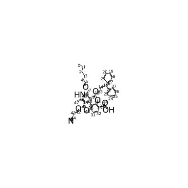 CCCCCCOCC1=C(C(=O)OCCC(c2ccccc2)c2ccccc2)C(c2cccc(C(=O)O)c2)C(C(=O)OCCC#N)=C(C)N1